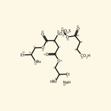 CCCCC(CC)COC(=O)CC(C(=O)OCC(CC)CCCC)S(=O)(=O)O.O=C(O)CCC(=O)OS(=O)(=O)O.[NaH]